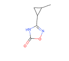 CC1CC1c1noc(=O)[nH]1